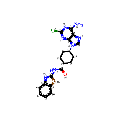 Nc1nc(Cl)nc2c1ncn2[C@H]1CC[C@@H](C(=O)Nc2nc3ccccc3s2)CC1